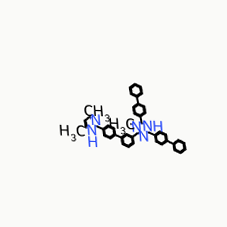 CC1=CC(C)=NC(c2ccc(-c3cccc(C4=NC(c5ccc(-c6ccccc6)cc5)NC(c5ccc(-c6ccccc6)cc5)N4C)c3)cc2)N1